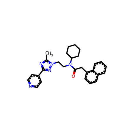 Cc1nc(-c2ccncc2)nn1CCN(C(=O)Cc1cccc2ccccc12)C1CCCCC1